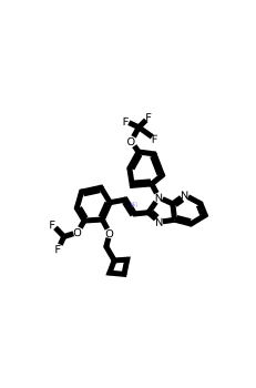 FC(F)Oc1cccc(/C=C/c2nc3cccnc3n2-c2ccc(OC(F)(F)F)cc2)c1OCC1CCC1